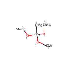 CO[O][Ti]([O]C)([O]OC)[O]OC